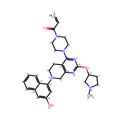 C=CC(=O)N1CCN(c2nc(OC3CCN(C)C3)nc3c2CCN(c2cc(O)cc4ccccc24)C3)CC1